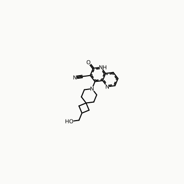 N#Cc1c(N2CCC3(CC2)CC(CO)C3)c2ncccc2[nH]c1=O